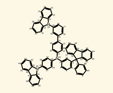 c1ccc(C2(c3cccc(N(c4ccc(-c5cccc(-n6c7ccccc7c7ccccc76)c5)cc4)c4ccc(-n5c6ccccc6c6ccccc65)cc4)c3)c3ccccc3-c3ccccc32)cc1